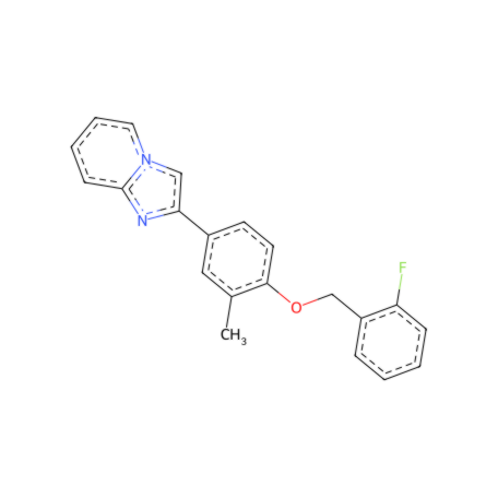 Cc1cc(-c2cn3ccccc3n2)ccc1OCc1ccccc1F